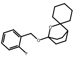 Fc1ccccc1COC12CCC(CC1)C1(CCCCC1)O2